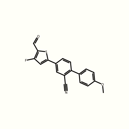 COc1ccc(-c2ccc(-c3cc(F)c(C=O)s3)cc2C#N)cc1